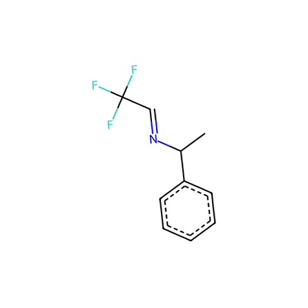 CC(N=CC(F)(F)F)c1ccccc1